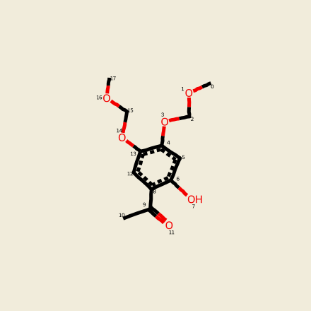 COCOc1cc(O)c(C(C)=O)cc1OCOC